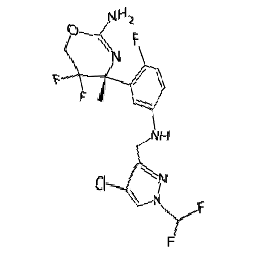 C[C@]1(c2cc(NCc3nn(C(F)F)cc3Cl)ccc2F)N=C(N)OCC1(F)F